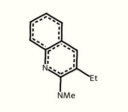 CCc1cc2ccccc2nc1NC